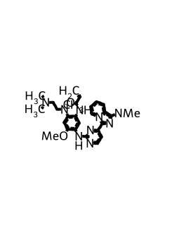 C=CC(=O)Nc1cc(Nc2nccc(-c3nc(NC)c4ccccn34)n2)c(OC)cc1N(C)CCN(C)C